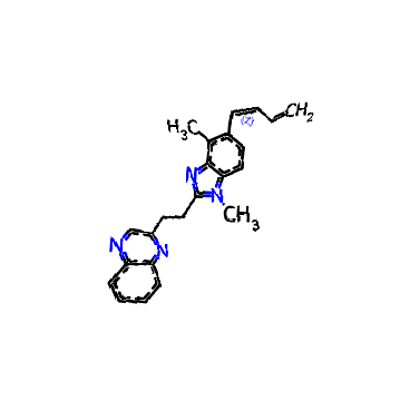 C=C/C=C\c1ccc2c(nc(CCc3cnc4ccccc4n3)n2C)c1C